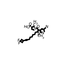 C[C@@H]1[C@@H](C(=O)O)CCN1C(=O)c1c(CCCCCCC#CC2CC(F)(F)C2)n(C)c2ncc(C#N)cc12